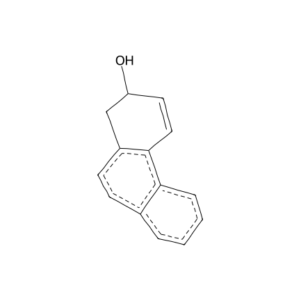 OC1C=Cc2c(ccc3ccccc23)C1